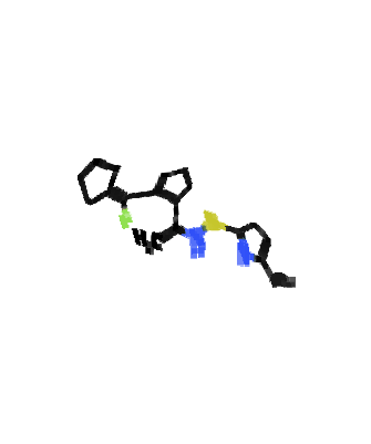 C=C(NSC1=NC(C(C)(C)C)=CC1)C1=C(C(F)=C2CCCC2)CCC1